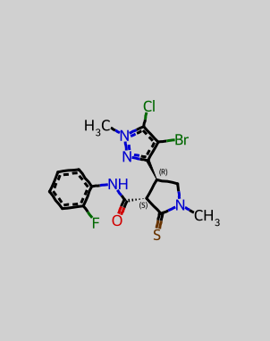 CN1C[C@H](c2nn(C)c(Cl)c2Br)[C@@H](C(=O)Nc2ccccc2F)C1=S